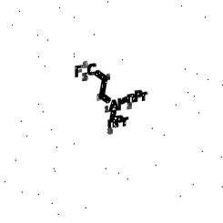 CC[CH2][Al]([CH2]CC)[CH2]CC(F)(F)F